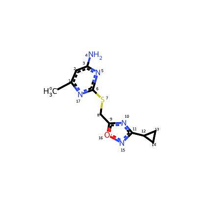 Cc1cc(N)nc(SCc2nc(C3CC3)no2)n1